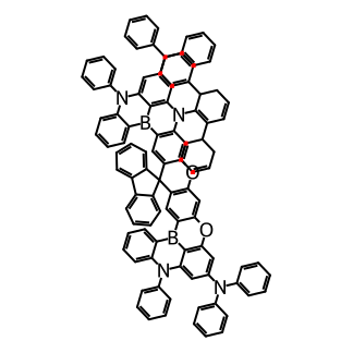 C1=CCC(C2=C(N3c4cc5c(cc4B4c6ccccc6N(c6ccccc6)c6cc(C(c7ccccc7)c7ccccc7)cc3c64)C3(c4cc6c(cc4O5)Oc4cc(N(c5ccccc5)c5ccccc5)cc5c4B6c4ccccc4N5c4ccccc4)c4ccccc4-c4ccccc43)C(C3=CCCC=C3)CC=C2)C=C1